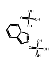 O=P(O)(O)O.O=P(O)(O)O.c1ccn2nncc2c1